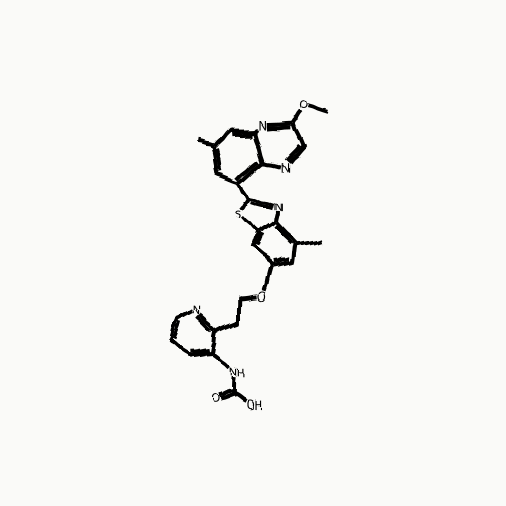 COc1cnc2c(-c3nc4c(C)cc(OCCc5ncccc5NC(=O)O)cc4s3)cc(C)cc2n1